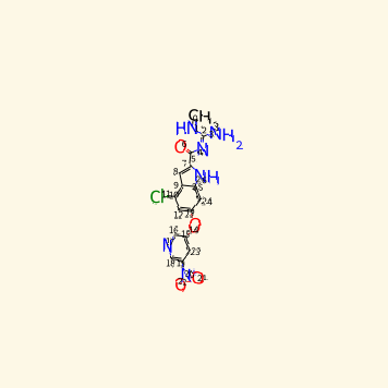 CNC(N)=NC(=O)c1cc2c(Cl)cc(Oc3cncc([N+](=O)[O-])c3)cc2[nH]1